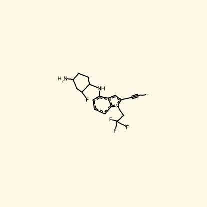 [CH2]C#Cc1cc2c(NC3CCC(N)CC3F)cccc2n1CC(F)(F)F